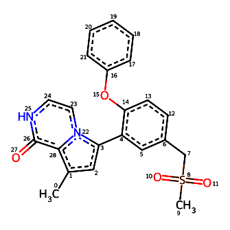 Cc1cc(-c2cc(CS(C)(=O)=O)ccc2Oc2ccccc2)n2cc[nH]c(=O)c12